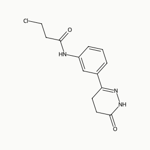 O=C1CCC(c2cccc(NC(=O)CCCl)c2)=NN1